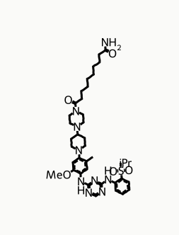 COc1cc(N2CCC(N3CCN(C(=O)CCCCCCCCC(N)=O)CC3)CC2)c(C)cc1Nc1ncnc(Nc2ccccc2S(=O)(=O)C(C)C)n1